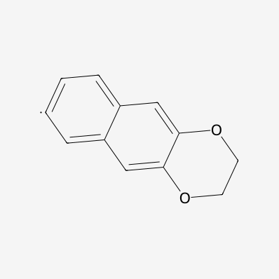 [c]1ccc2cc3c(cc2c1)OCCO3